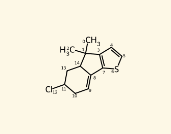 CC1(C)c2ccsc2C2=CCC(Cl)CC21